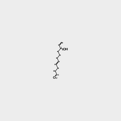 C=CC(O)CCC/C=C/CCC=O